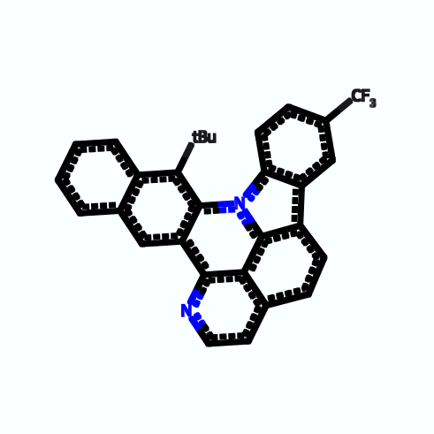 CC(C)(C)c1c2ccccc2cc2c3nccc4ccc5c6cc(C(F)(F)F)ccc6n(c12)c5c43